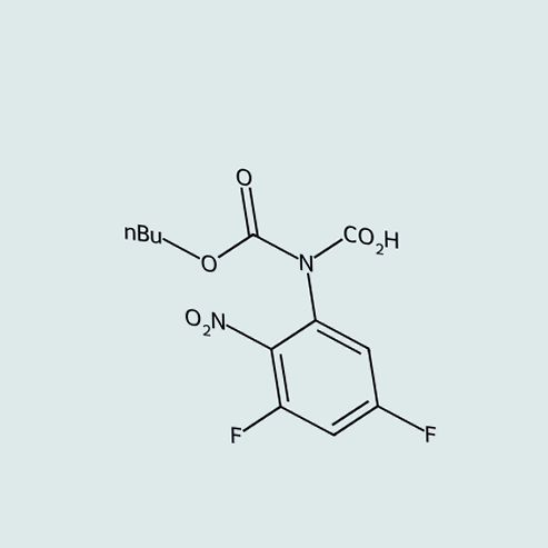 CCCCOC(=O)N(C(=O)O)c1cc(F)cc(F)c1[N+](=O)[O-]